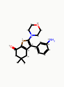 CC1(C)CC(=O)c2sc(N3CCOCC3)c(-c3cccc(N)c3)c2C1